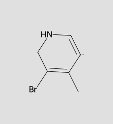 CC1=C(Br)CNC=[C]1